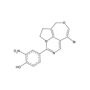 O=[N+]([O-])c1cc(C2=NC=C3C(Br)=COCC4=C3N2CC4)ccc1O